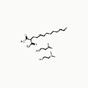 CCCCCCCCCCCC(C(=O)O)C(=O)O.CN(C)CCO.CN(C)CCO